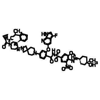 CC(C)c1ccccc1[C@H]1CN(C(=O)C2CC2)CC[C@H]1N1CC2(CCN(c3ccc(C(=O)NS(=O)(=O)c4cc5c(c([N+](=O)[O-])c4)N[C@@H]([C@H]4CC[C@](C)(O)CC4)CO5)c(Oc4cnc5[nH]cc(F)c5c4)c3)CC2)C1